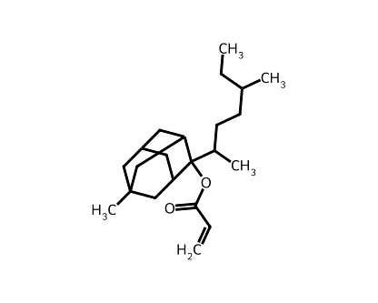 C=CC(=O)OC1(C(C)CCC(C)CC)C2CC3CC1CC(C)(C3)C2